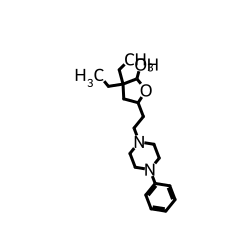 CCC1(CC)CC(CCN2CCN(c3ccccc3)CC2)OC1O